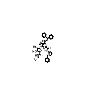 CCNC(=O)[C@H]1O[C@@H](n2cnc3c(NCC(c4ccccc4)c4ccccc4)nc(C(=O)NC4CCCN4Cc4ccccc4)nc32)[C@H](O)[C@@H]1O